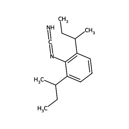 CCC(C)c1cccc(C(C)CC)c1N=C=N